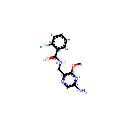 COc1nc(N)cnc1CNC(=O)c1ccccc1F